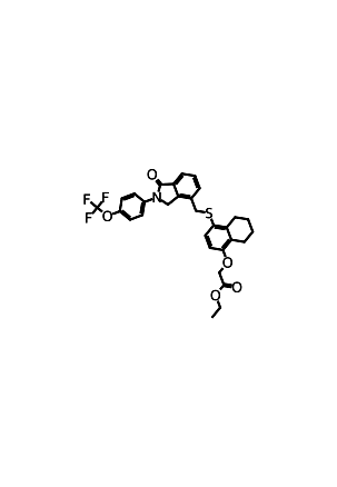 CCOC(=O)COc1ccc(SCc2cccc3c2CN(c2ccc(OC(F)(F)F)cc2)C3=O)c2c1CCCC2